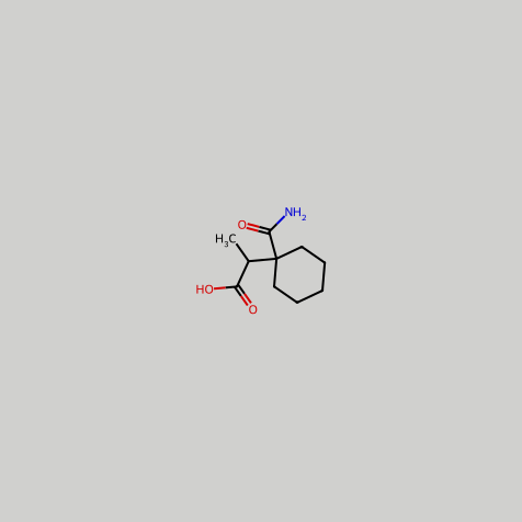 CC(C(=O)O)C1(C(N)=O)CCCCC1